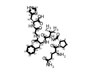 CC(C)[C@H](NC(=O)[C@@H]1CCCN1C(=O)[C@@H](N)CCC(N)=O)C(=O)N[C@@H](Cc1ccccc1)C(=O)NCC(=O)N[C@@H](Cc1c[nH]cn1)C(=O)O